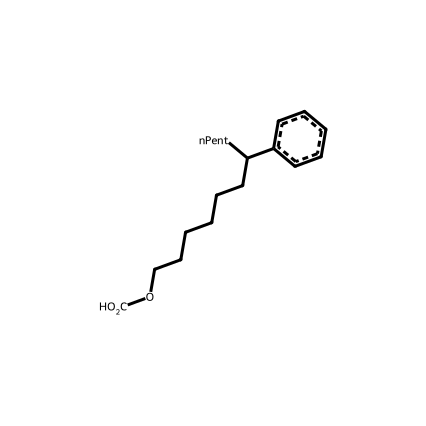 CCCCCC(CCCCCCOC(=O)O)c1ccccc1